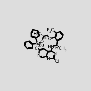 C[C@H](COc1c([C@@H](C)Nc2nc(Cl)nc3cnc(Cl)cc23)cccc1C(F)(F)F)O[Si](c1ccccc1)(c1ccccc1)C(C)(C)C